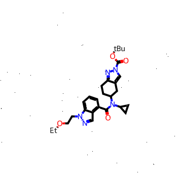 CCOCCn1ncc2c(C(=O)N(C3CC3)C3CCc4nn(C(=O)OC(C)(C)C)cc4C3)cccc21